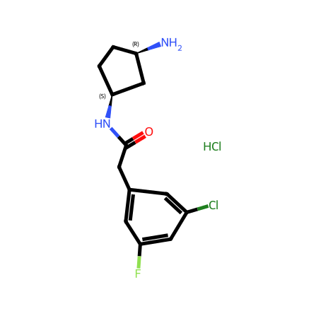 Cl.N[C@@H]1CC[C@H](NC(=O)Cc2cc(F)cc(Cl)c2)C1